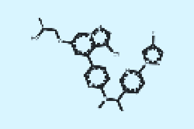 CC(c1ccc(-n2cc(F)cn2)nc1)N(C)c1ccc(-c2cc(OC[C@H](C)O)cn3ncc(C#N)c23)cn1